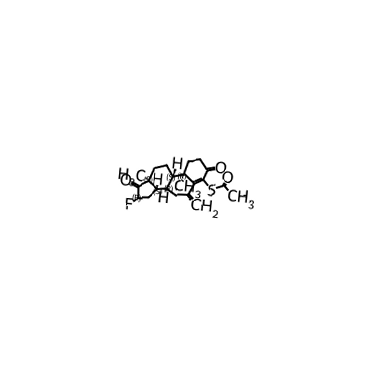 C=C1C[C@@H]2[C@H](CC[C@]3(C)C(=O)[C@H](F)C[C@@H]23)[C@@]2(C)CCC(=O)C(SC(C)=O)=C12